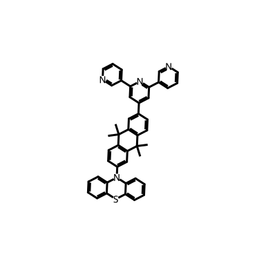 CC1(C)c2ccc(N3c4ccccc4Sc4ccccc43)cc2C(C)(C)c2ccc(-c3cc(-c4cccnc4)nc(-c4cccnc4)c3)cc21